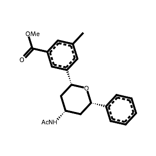 COC(=O)c1cc(C)cc([C@H]2C[C@@H](NC(C)=O)C[C@@H](c3ccccc3)O2)c1